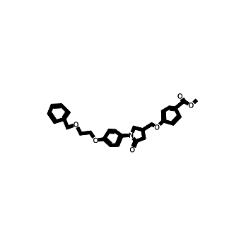 COC(=O)c1ccc(OCC2CC(=O)N(c3ccc(OCCOCc4ccccc4)cc3)C2)cc1